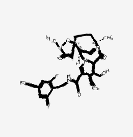 C[C@H]1CC[C@]2(CC(=O)N(C)O2)[C@H]2CN1C(=O)c1c(O)c(=O)c(C(=O)NCc3c(F)cc(F)cc3F)cn12